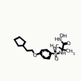 CC(C)(NS(=O)(=O)c1ccc(OCCC2CCCC2)cc1)C(=O)NO